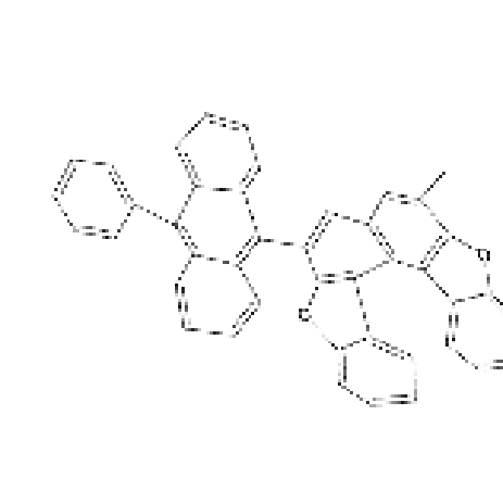 Cc1cc2cc(-c3c4ccccc4c(-c4ccccc4)c4ccccc34)c3oc4ccccc4c3c2c2c1oc1ccccc12